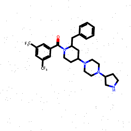 O=C(c1cc(C(F)(F)F)cc(C(F)(F)F)c1)N1CCC(N2CCN(C3CCNC3)CC2)CC1Cc1ccccc1